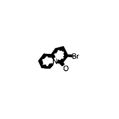 O=c1c(Br)ccc2ccccn12